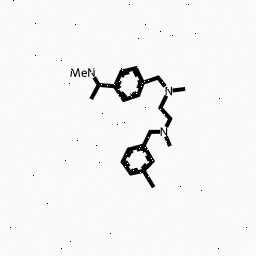 CNC(C)c1ccc(CN(C)CCN(C)Cc2cccc(C)c2)cc1